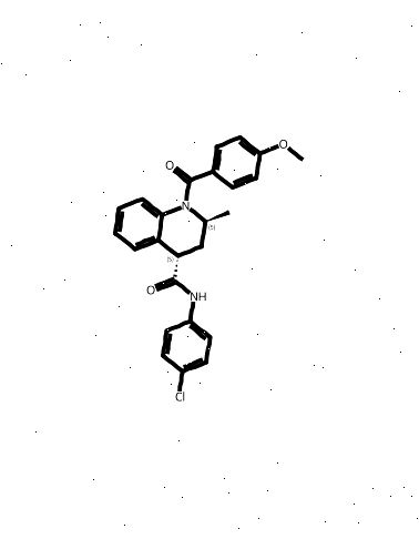 COc1ccc(C(=O)N2c3ccccc3[C@@H](C(=O)Nc3ccc(Cl)cc3)C[C@@H]2C)cc1